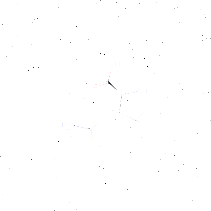 NC(=S)S.O=C(O)[C@@H]1CCCN1